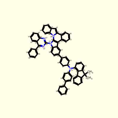 CC1(C)c2ccccc2-c2c(N(c3ccc(-c4ccccc4)cc3)C3C=CC(c4ccc5c(c4)c4c6ccccc6c6cc7ccccc7n6c4n5-c4nc(-c5ccccc5)c5ccccc5n4)=CC3)cccc21